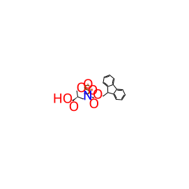 O=C(O)[C@H]1COS(=O)(=O)N(C(=O)OCC2c3ccccc3-c3ccccc32)C1